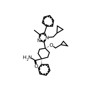 Cc1nc([C@]2(OCC3CC3)CC[C@@](C(N)=O)(c3ccccc3)CC2)n(CC2CC2)c1-c1ccccc1